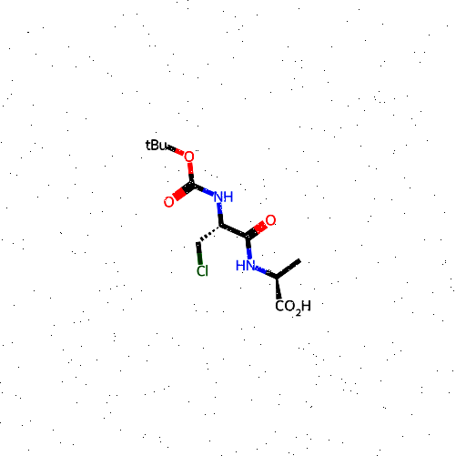 C[C@H](NC(=O)[C@H](CCl)NC(=O)OC(C)(C)C)C(=O)O